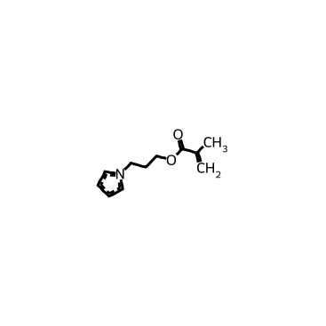 C=C(C)C(=O)OCCCn1cccc1